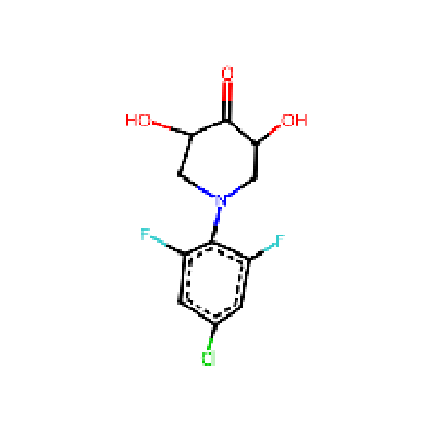 O=C1C(O)CN(c2c(F)cc(Cl)cc2F)CC1O